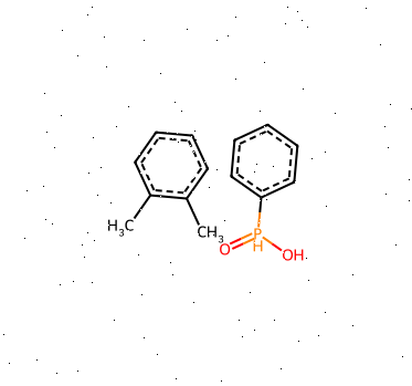 Cc1ccccc1C.O=[PH](O)c1ccccc1